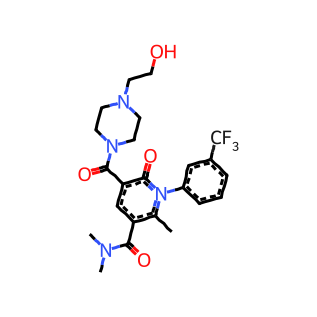 Cc1c(C(=O)N(C)C)cc(C(=O)N2CCN(CCO)CC2)c(=O)n1-c1cccc(C(F)(F)F)c1